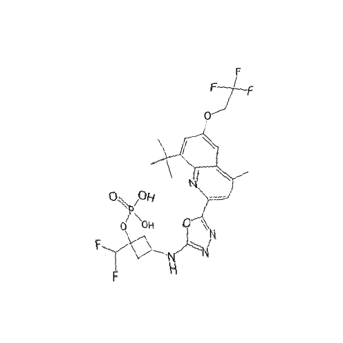 Cc1cc(-c2nnc(NC3CC(OP(=O)(O)O)(C(F)F)C3)o2)nc2c(C(C)(C)C)cc(OCC(F)(F)F)cc12